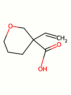 C=CC1(C(=O)O)CCCOC1